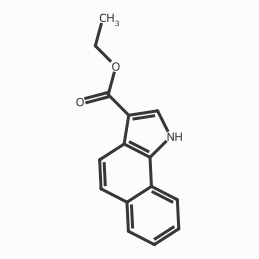 CCOC(=O)c1c[nH]c2c1ccc1ccccc12